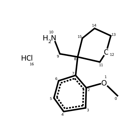 COc1ccccc1C1(CN)CCCCC1.Cl